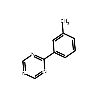 Cc1cccc(-c2ncncn2)c1